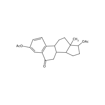 CC(=O)Oc1ccc2c(c1)C(=O)CC1C2CCC2(C)C(OC(C)=O)CCC12